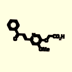 COc1cc(/C=C/C(=O)c2ccccc2)ncc1OCC(=O)O